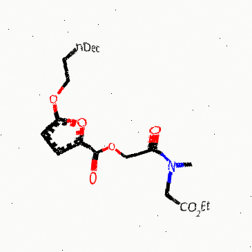 CCCCCCCCCCCCOc1ccc(C(=O)OCC(=O)N(C)CC(=O)OCC)o1